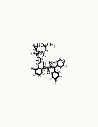 C[C@@H](O)CNC[C@H](CCc1c(F)cccc1NC(=O)[C@@H](N)C(c1ccc(Cl)cc1)C1CCOCC1)NS(=O)(=O)C1CC1